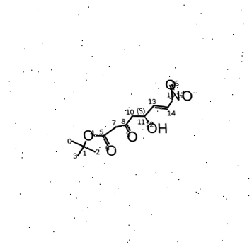 CC(C)(C)OC(=O)CC(=O)C[C@H](O)C=C[N+](=O)[O-]